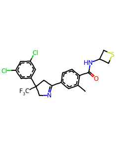 Cc1cc(C2=NCC(c3cc(Cl)cc(Cl)c3)(C(F)(F)F)C2)ccc1C(=O)NC1CSC1